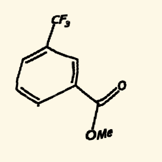 COC(=O)c1[c]ccc(C(F)(F)F)c1